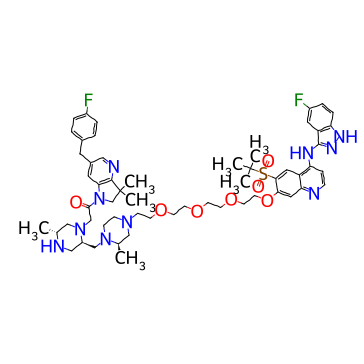 C[C@@H]1CN(CC(=O)N2CC(C)(C)c3ncc(Cc4ccc(F)cc4)cc32)[C@@H](CN2CCN(CCOCCOCCOCCOc3cc4nccc(Nc5n[nH]c6ccc(F)cc56)c4cc3S(=O)(=O)C(C)(C)C)C[C@H]2C)CN1